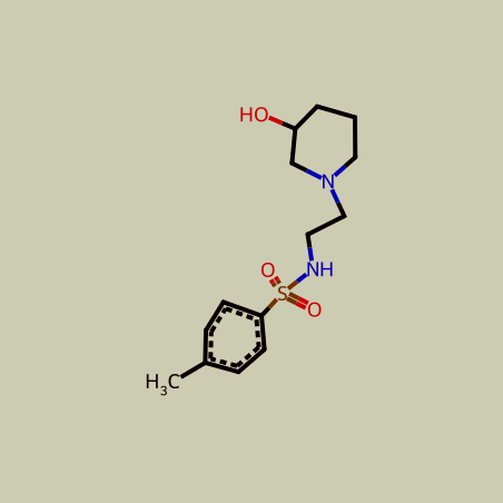 Cc1ccc(S(=O)(=O)NCCN2CCCC(O)C2)cc1